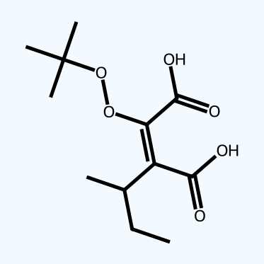 CCC(C)C(C(=O)O)=C(OOC(C)(C)C)C(=O)O